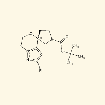 CC(C)(C)OC(=O)N1CC[C@]2(C1)OCCn1nc(Br)cc12